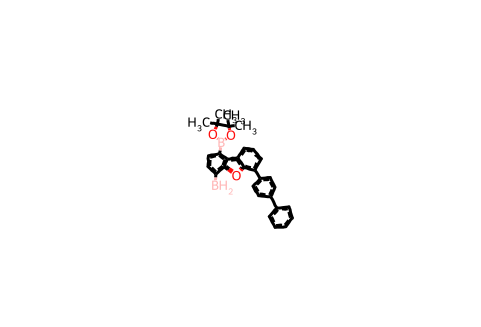 Bc1ccc(B2OC(C)(C)C(C)(C)O2)c2c1oc1c(-c3ccc(-c4ccccc4)cc3)cccc12